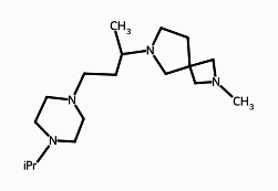 CC(C)N1CCN(CCC(C)N2CCC3(CN(C)C3)C2)CC1